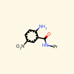 CC(C)NC(=O)c1cc([N+](=O)[O-])ccc1N